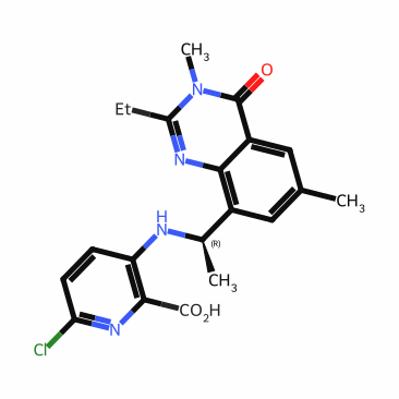 CCc1nc2c([C@@H](C)Nc3ccc(Cl)nc3C(=O)O)cc(C)cc2c(=O)n1C